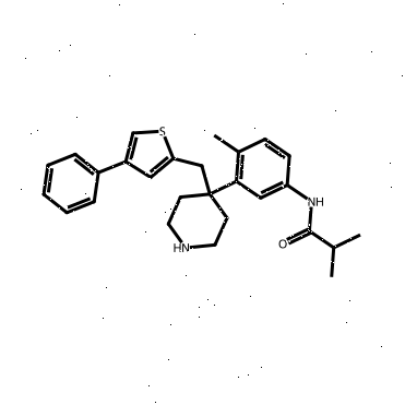 Cc1ccc(NC(=O)C(C)C)cc1C1(Cc2cc(-c3ccccc3)cs2)CCNCC1